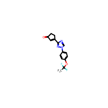 O=C1C=C(c2ncn(-c3ccc(OC(F)(F)C(F)(F)F)cc3)n2)CC1